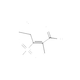 CCC(=C(C)C(=O)O)S(=O)(=O)O.[NaH]